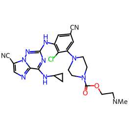 CNCCOC(=O)N1CCN(c2cc(C#N)cc(Nc3nc(NC4CC4)c4ncc(C#N)n4n3)c2Cl)CC1